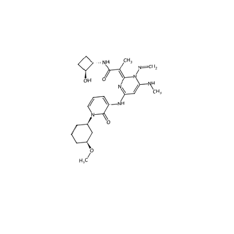 C=NN1C(NC)=CC(Nc2cccn([C@@H]3CCC[C@H](OC)C3)c2=O)=N/C1=C(/C)C(=O)N[C@H]1CC[C@@H]1O